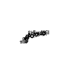 Cn1c2c(c3ccc(-n4ccc(OCc5ccc(Cl)cn5)cc4=O)cc31)CN(C(=O)OC(C)(C)C)CC2